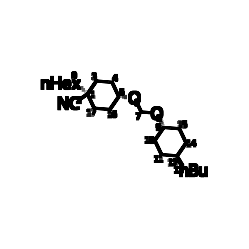 CCCCCC[C@]1(C#N)CC[C@H](OCO[C@H]2CC[C@H](CCCC)CC2)CC1